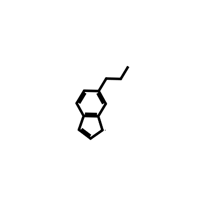 CCCc1ccc2c(c1)[CH]C=C2